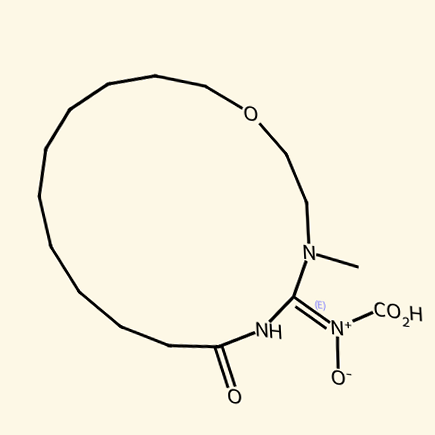 CN1CCOCCCCCCCCCCC(=O)N/C1=[N+](\[O-])C(=O)O